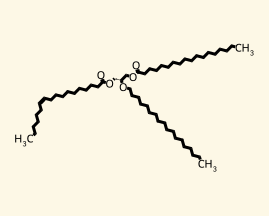 CCCCCC/C=C\CCCCCCCCCC(=O)OC[C@H](COC(=O)CCCCCCCCCCCCCCCCC)OCCCCCCCCCCCCCCCCCC